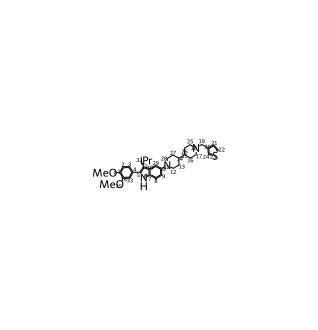 COc1ccc(-c2[nH]c3ccc(N4CCC(C5CCN(Cc6ccsc6)CC5)CC4)cc3c2C(C)C)cc1OC